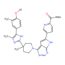 CCOc1ccc(-c2[nH]c(C3(C)CCN(c4ncnc5[nH]c(-c6ccc(C(=O)NC)nc6)cc45)CC3)nc2C)cc1C